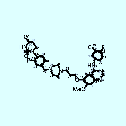 COc1cc2ncnc(Nc3ccc(F)c(Cl)c3)c2cc1OCCCN1CCN(Cc2ccc(N3CCC(=O)NC3=O)c(F)c2)CC1